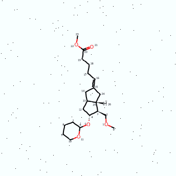 COC[C@H]1[C@H](OC2CCCCO2)CC2C/C(=C\CCCC(=O)OC)C[C@@H]21